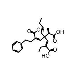 C=C(C(=O)O)C(C=C(CC)C(=O)O)(C=C(CCc1ccccc1)C(=O)O)CCCC